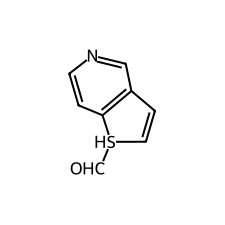 O=C[SH]1C=Cc2cnccc21